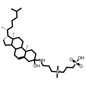 CC(C)CCC[C@@H](C)[C@H]1CCC2C3CC=C4CC(O)(NCCC[N+](C)(C)CCCS(=O)(=O)O)CC[C@]4(C)C3CC[C@@]21C